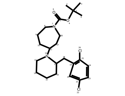 CC(C)(C)OC(=O)N1CCCC(N2CCCCC2Cc2cc(Cl)ccc2Cl)CC1